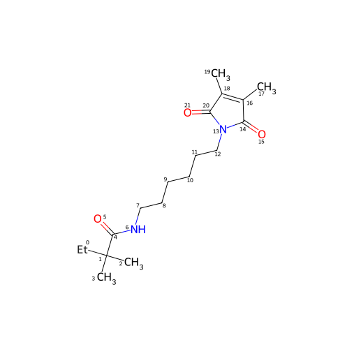 CCC(C)(C)C(=O)NCCCCCCN1C(=O)C(C)=C(C)C1=O